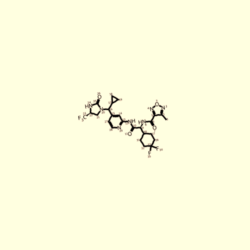 Cc1nonc1C(=O)N[C@H](C(=O)Nc1cc(C(C2CC2)N2C[C@@H](C(F)(F)F)NC2=O)ccn1)C1CCC(F)(F)CC1